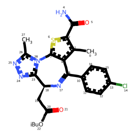 Cc1c(C(N)=O)sc2c1C(c1ccc(Cl)cc1)=N[C@@H](CC(=O)OCC(C)C)c1nnc(C)n1-2